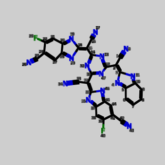 N#CC(=C1N=c2ccccc2=N1)c1nc(/C(C#N)=C2/N=c3cc(F)c(C#N)cc3=N2)nc(/C(C#N)=C2/N=c3cc(F)c(C#N)cc3=N2)n1